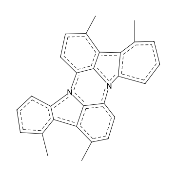 Cc1cccc2c1c1c(C)ccc3c1n2c1ccc(C)c2c4c(C)cccc4n3c21